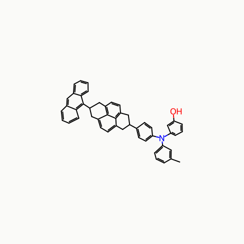 Cc1cccc(N(c2ccc(C3Cc4ccc5c6c(ccc(c46)C3)CC(c3c4ccccc4cc4ccccc34)C5)cc2)c2cccc(O)c2)c1